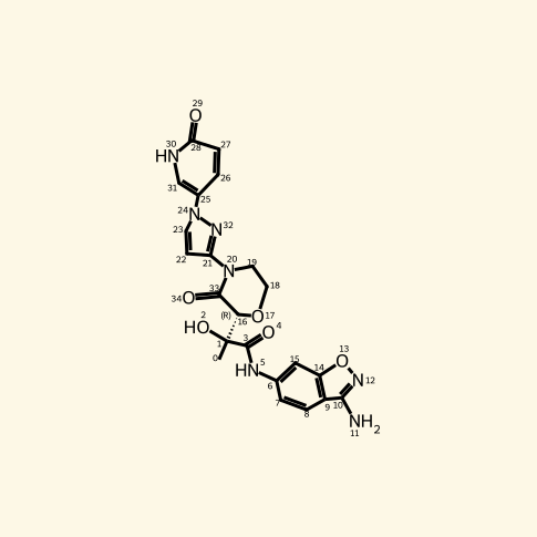 CC(O)(C(=O)Nc1ccc2c(N)noc2c1)[C@H]1OCCN(c2ccn(-c3ccc(=O)[nH]c3)n2)C1=O